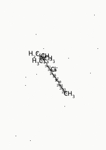 C=CC[N+](C)(C)C(C)CCCCCCCCCCCCCCCCCC.[Cl-]